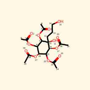 CC(=O)OC1C(OC(C)=O)[C@](O)(CCCO)[C@@H](OC(C)=O)C(OC(C)=O)[C@H]1OC(C)=O